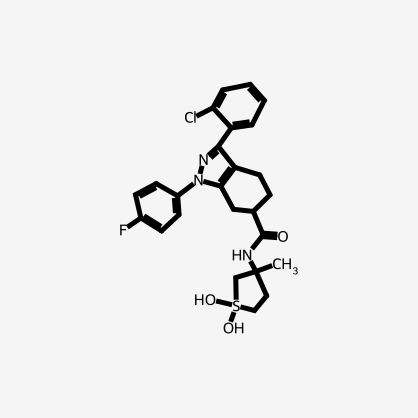 CC1(NC(=O)C2CCc3c(-c4ccccc4Cl)nn(-c4ccc(F)cc4)c3C2)CCS(O)(O)C1